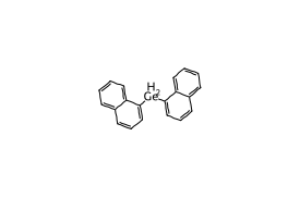 c1ccc2[c]([GeH2][c]3cccc4ccccc34)cccc2c1